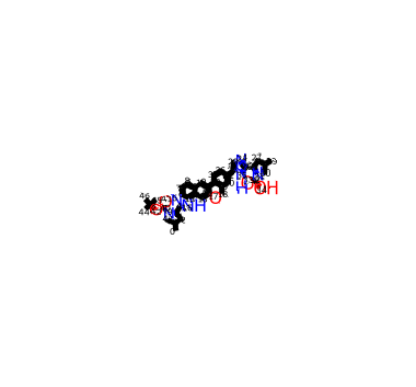 CC1CC(c2nc3ccc4cc5c(cc4c3[nH]2)OCc2cc(-c3cnc([C@@H]4CC(C)CN4C(=O)O)[nH]3)ccc2-5)N(C(=O)OC(C)(C)C)C1